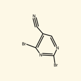 N#Cc1cnc(Br)nc1Br